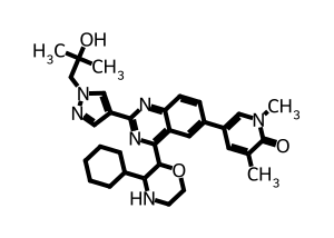 Cc1cc(-c2ccc3nc(-c4cnn(CC(C)(C)O)c4)nc(C4OCCNC4C4CCCCC4)c3c2)cn(C)c1=O